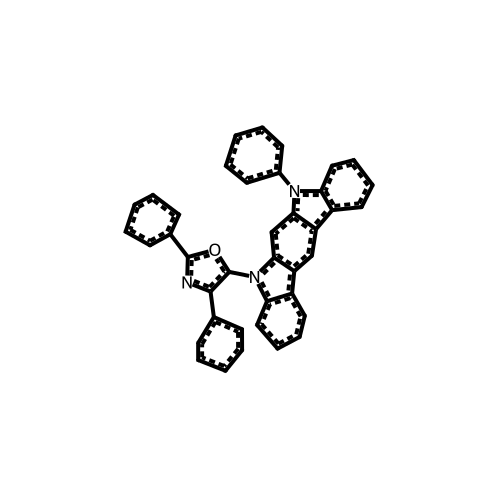 c1ccc(-c2nc(-c3ccccc3)c(-n3c4ccccc4c4cc5c6ccccc6n(-c6ccccc6)c5cc43)o2)cc1